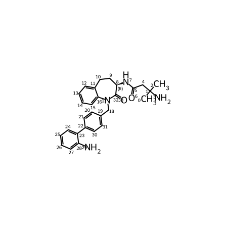 CC(C)(N)CC(=O)N[C@@H]1CCc2ccccc2N(Cc2ccc(-c3ccccc3N)cc2)C1=O